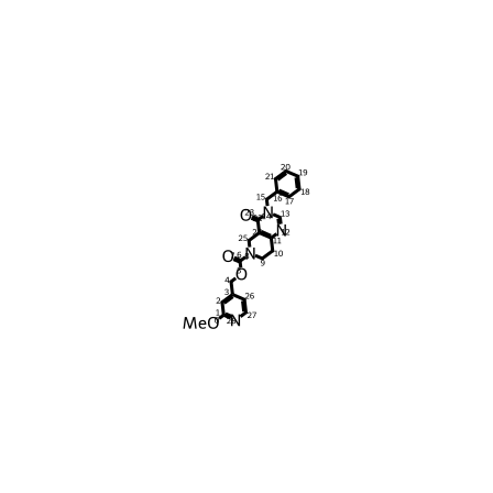 COc1cc(COC(=O)N2CCc3ncn(Cc4ccccc4)c(=O)c3C2)ccn1